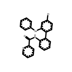 O=C(Nc1ccccc1-c1ccc(Cl)cc1[Se]c1ccccc1)c1ccccn1